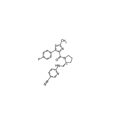 Cc1nc(C(=O)N2CCC[C@H]2CNc2ccc(C#N)cn2)c(-c2ccc(F)cc2)s1